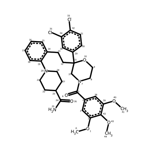 COc1cc(C(=O)N2CCOC(CCc3ccccc3N3CCC(C(N)=O)CC3)(c3ccc(Cl)c(Cl)c3)C2)cc(OC)c1OC